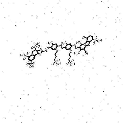 Cc1cc(N=Nc2cc(OCCCS(=O)(=O)O)c(N=Nc3c(C)c(C#N)c4nc5c(S(=O)(=O)O)ccc(Cl)c5n4c3O)cc2C)c(SCCCS(=O)(=O)O)cc1N=Nc1nc2c(S(=O)(=O)O)cc3c(S(=O)(=O)O)cc(S(=O)(=O)O)cc3c2s1